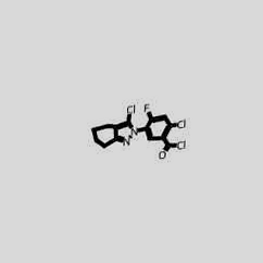 O=C(Cl)c1cc(-n2nc3c(c2Cl)CCCC3)c(F)cc1Cl